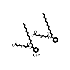 CCCCCCCCCCCCC(OC(=O)CCSCCC(=O)[O-])c1ccccc1.CCCCCCCCCCCCC(OC(=O)CCSCCC(=O)[O-])c1ccccc1.[Ca+2]